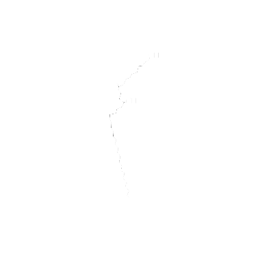 CCCCCCCCCCCCCCCCCCCCC(C)CCCC(C)CCCC(C)CCCCCCCCCC